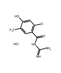 Cl.N=C(N)NC(=O)c1cc(C(F)(F)F)c(O)cc1Cl